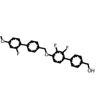 COc1ccc(-c2ccc(COc3ccc(-c4ccc(CO)cc4)c(F)c3F)cc2)c(F)c1